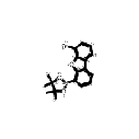 CC1(C)OB(c2cccc3c2oc2c(Br)cccc23)OC1(C)C